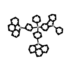 c1ccc(-n2c3ccccc3c3cc([Si](c4ccccc4)(c4ccc(-n5c6cccc7ccc8cccc5c8c76)cc4)c4ccc(-n5c6cccc7ccc8cccc5c8c76)cc4)ccc32)cc1